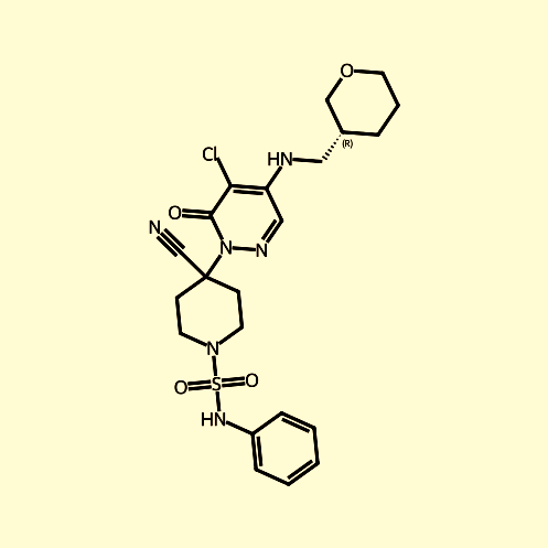 N#CC1(n2ncc(NC[C@H]3CCCOC3)c(Cl)c2=O)CCN(S(=O)(=O)Nc2ccccc2)CC1